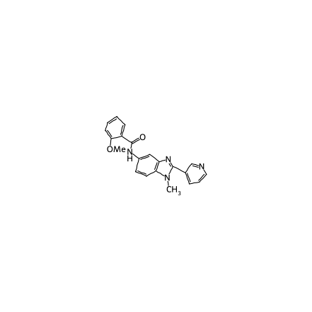 COc1ccccc1C(=O)Nc1ccc2c(c1)nc(-c1cccnc1)n2C